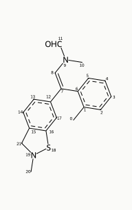 Cc1ccccc1/C(=C\N(C)C=O)c1ccc2c(c1)SN(C)C2